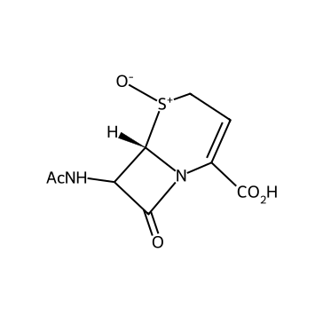 CC(=O)NC1C(=O)N2C(C(=O)O)=CC[S+]([O-])[C@@H]12